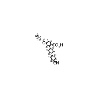 C[Si](C)(C)CCCOc1ccc(C(=O)O)c(-c2ccc(-c3ccc(C#N)cc3)cc2)c1